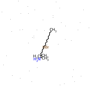 Br.CCCCCCCCCCCCCCCC(C)(C)C(C)N